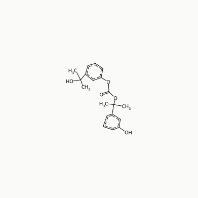 CC(C)(O)c1cccc(OC(=O)OC(C)(C)c2cccc(O)c2)c1